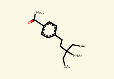 CCCCCCCC(=O)c1ccc(CCC(COC(C)=O)(COC(C)=O)NC(C)=O)cc1